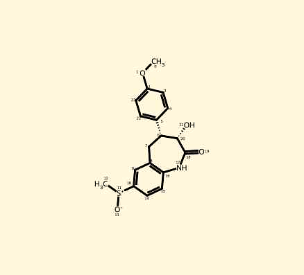 COc1ccc([C@H]2Cc3cc([S+](C)[O-])ccc3NC(=O)[C@H]2O)cc1